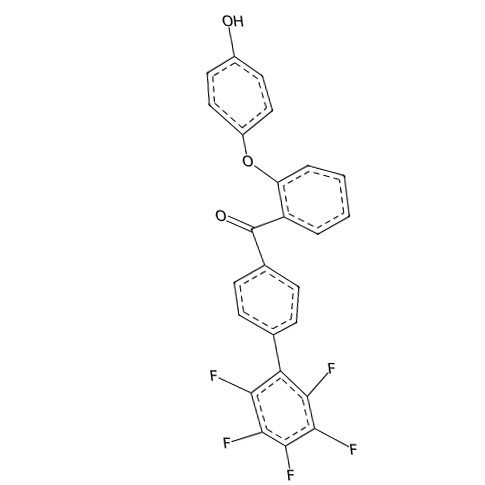 O=C(c1ccc(-c2c(F)c(F)c(F)c(F)c2F)cc1)c1ccccc1Oc1ccc(O)cc1